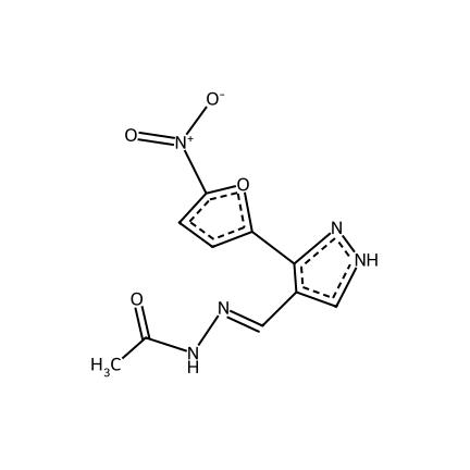 CC(=O)NN=Cc1c[nH]nc1-c1ccc([N+](=O)[O-])o1